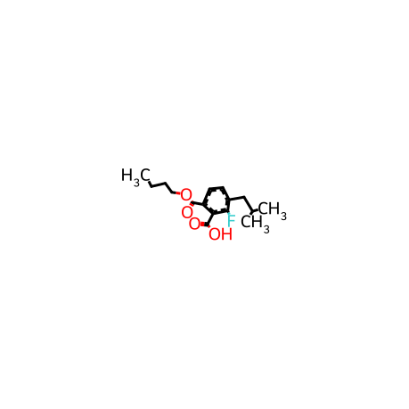 CCCCOC(=O)c1ccc(CC(C)C)c(F)c1C(=O)O